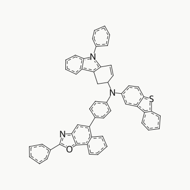 C1=CC(N(c2ccc(-c3cc4nc(-c5ccccc5)oc4c4ccccc34)cc2)c2ccc3sc4ccccc4c3c2)Cc2c1n(-c1ccccc1)c1ccccc21